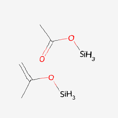 C=C(C)O[SiH3].CC(=O)O[SiH3]